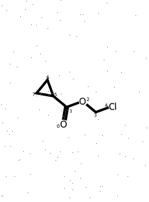 O=C(OCCl)C1CC1